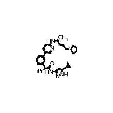 C=C(/C=C/CN1CCCC1)Nc1ccc(-c2cccc(C(C(=O)Nc3cc(C4CC4)[nH]n3)C(C)C)c2)cn1